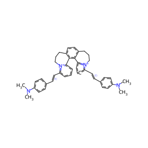 CN(C)c1ccc(/C=C/c2cccc3[n+]2CCCc2ccc4c(c2-3)-c2cccc(/C=C/c3ccc(N(C)C)cc3)[n+]2CCC4)cc1